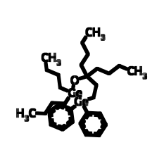 CCCCC1(CCCC)C[CH2][Ge]([c]2ccccc2)([c]2ccccc2)[Ge]([CH2]CCC)([CH2]CCC)[O]1